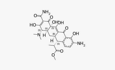 COC(=O)C(C)[C@H]1c2ccc(N)c(O)c2C(=O)C2=C(O)[C@]3(O)C(=O)C(C(N)=O)=C(O)[C@@H](N(C)C)[C@@H]3C[C@@H]21